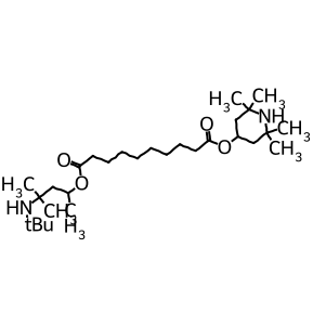 CC(CC(C)(C)NC(C)(C)C)OC(=O)CCCCCCCCC(=O)OC1CC(C)(C)NC(C)(C)C1